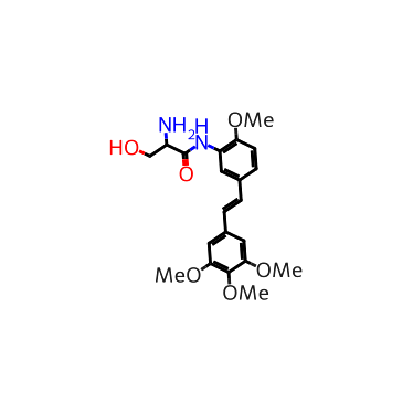 COc1ccc(C=Cc2cc(OC)c(OC)c(OC)c2)cc1NC(=O)C(N)CO